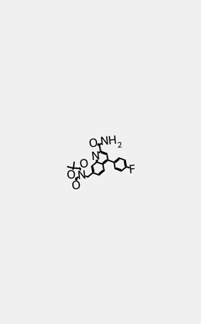 CC1(C)OC(=O)N(Cc2ccc3c(-c4ccc(F)cc4)cc(C(N)=O)nc3c2)C1=O